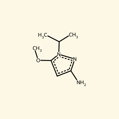 COc1cc(N)nn1C(C)C